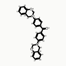 O=C(c1ccc(N2COc3ccccc3C2)cc1)c1ccc(N2COc3ccccc3C2)cc1